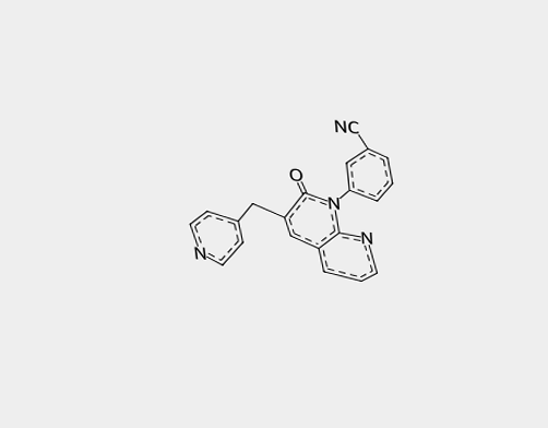 N#Cc1cccc(-n2c(=O)c(Cc3ccncc3)cc3cccnc32)c1